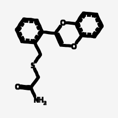 NC(=O)CSCc1ccccc1C1=COc2ccccc2O1